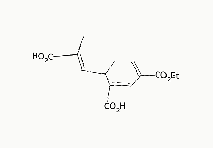 C=C(C=C(C(=O)O)C(C)C=C(C)C(=O)O)C(=O)OCC